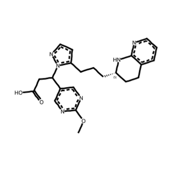 COc1ncc(C(CC(=O)O)n2nccc2CCC[C@H]2CCc3cccnc3N2)cn1